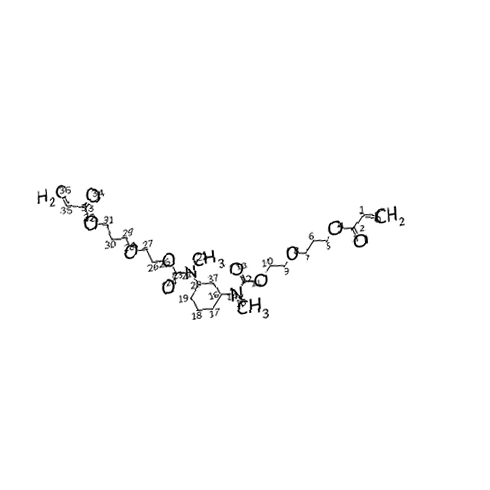 C=CC(=O)OCCCOCCOC(=O)N(C)C1CCCC(N(C)C(=O)OCCOCCCOC(=O)C=C)C1